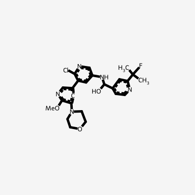 COc1ncc(-c2cc(NC(O)c3ccnc(C(C)(C)F)c3)cnc2Cl)cc1N1CCOCC1